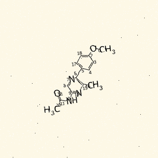 COc1ccc(-c2ncc(NC(C)=O)nc2C)cc1